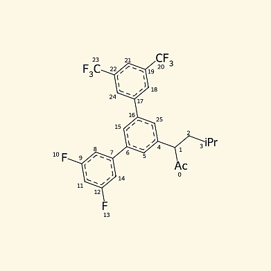 CC(=O)C(CC(C)C)c1cc(-c2cc(F)cc(F)c2)cc(-c2cc(C(F)(F)F)cc(C(F)(F)F)c2)c1